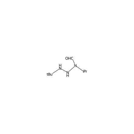 CC(C)N(C=O)NNC(C)(C)C